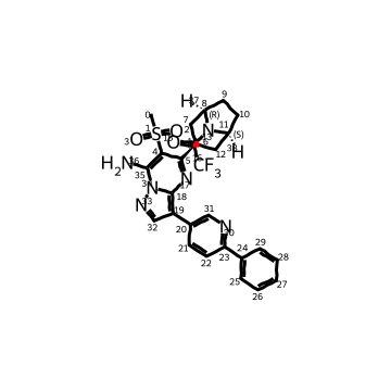 CS(=O)(=O)c1c([C@H]2C[C@H]3CC[C@@H](C2)N3C(=O)C(F)(F)F)nc2c(-c3ccc(-c4ccccc4)nc3)cnn2c1N